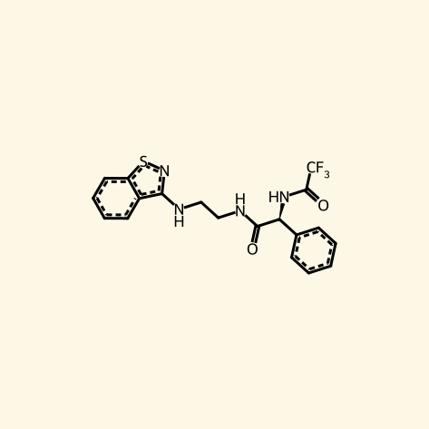 O=C(NCCNc1nsc2ccccc12)[C@@H](NC(=O)C(F)(F)F)c1ccccc1